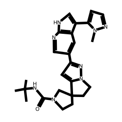 Cn1nccc1-c1c[nH]c2ncc(-c3cc4n(n3)CCC43CCN(C(=O)NC(C)(C)C)C3)cc12